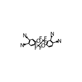 N#Cc1ccc(OC(Oc2ccc(C#N)c(C#N)c2)(C(F)(F)F)C(F)(F)F)cc1C#N